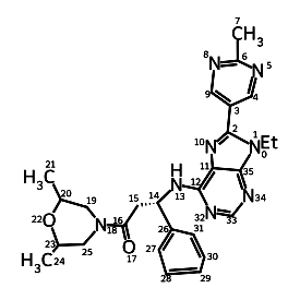 CCn1c(-c2cnc(C)nc2)nc2c(N[C@@H](CC(=O)N3CC(C)OC(C)C3)c3ccccc3)ncnc21